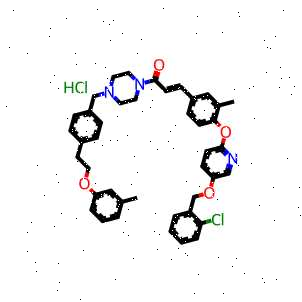 Cc1cccc(OCCc2ccc(CN3CCN(C(=O)/C=C/c4ccc(Oc5ccc(OCc6ccccc6Cl)cn5)c(C)c4)CC3)cc2)c1.Cl